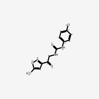 Cc1cc(C(=O)CNC(=O)Nc2ccc(Cl)cc2)no1